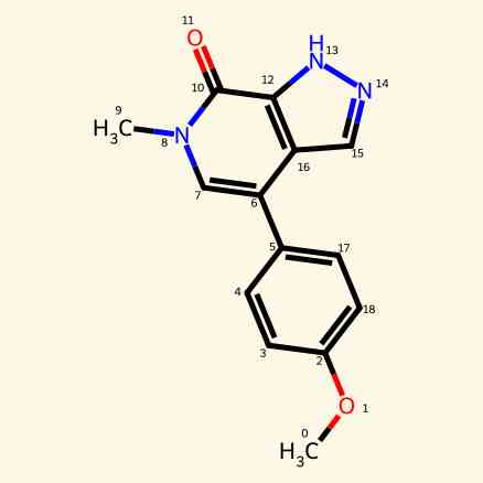 COc1ccc(-c2cn(C)c(=O)c3[nH]ncc23)cc1